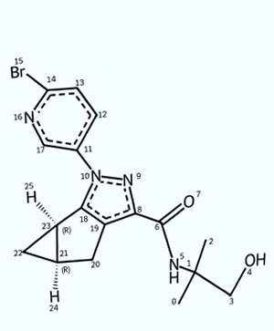 CC(C)(CO)NC(=O)c1nn(-c2ccc(Br)nc2)c2c1C[C@H]1C[C@@H]21